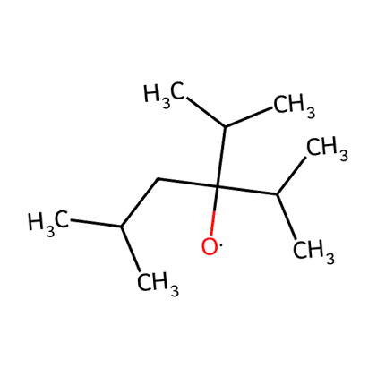 CC(C)CC([O])(C(C)C)C(C)C